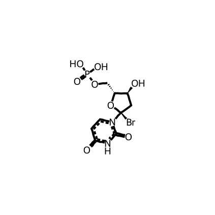 O=c1ccn([C@@]2(Br)C[C@H](O)[C@@H](COP(=O)(O)O)O2)c(=O)[nH]1